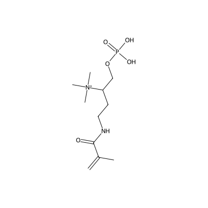 C=C(C)C(=O)NCCC(COP(=O)(O)O)[N+](C)(C)C